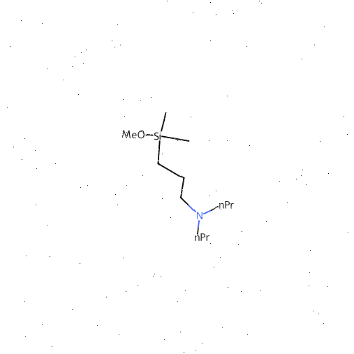 CCCN(CCC)CCC[Si](C)(C)OC